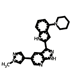 Cn1cc(-c2cnc3[nH]nc(-c4cc5c(N6CCCCC6)cccc5[nH]4)c3c2)cn1